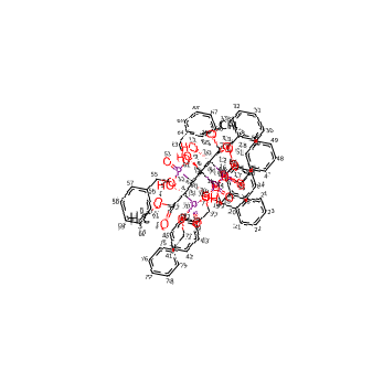 COC(=O)[C@@](O)([C@](O)([C@](O)([C@@](O)(C(=O)OC)P(=O)(OCc1ccccc1)OCc1ccccc1)P(=O)(OCc1ccccc1)OCc1ccccc1)P(=O)(OCc1ccccc1)OCc1ccccc1)P(=O)(OCc1ccccc1)OCc1ccccc1